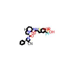 N#C[C@@H]1CN(C(=O)[C@@H]2CC[C@@H]3CCC[C@H](NC(=O)c4cc5cc(C(F)(F)P(=O)(O)O)ccc5s4)C(=O)N32)C[C@H]1c1ccccc1